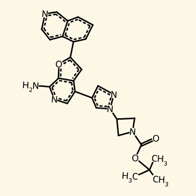 CC(C)(C)OC(=O)N1CC(n2cc(-c3cnc(N)c4oc(-c5cccc6cnccc56)cc34)cn2)C1